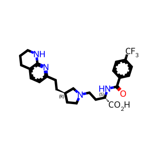 O=C(N[C@@H](CCN1CC[C@@H](CCc2ccc3c(n2)NCCC3)C1)C(=O)O)c1ccc(C(F)(F)F)cc1